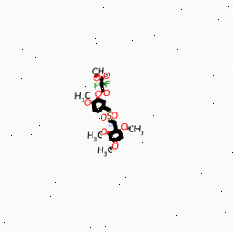 COC(=O)C(F)(F)C(=O)Oc1cc(CS(=O)(=O)/C=C/c2c(OC)cc(OC)cc2OC)ccc1OC